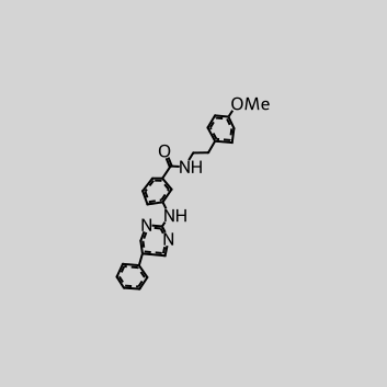 COc1ccc(CCNC(=O)c2cccc(Nc3ncc(-c4ccccc4)cn3)c2)cc1